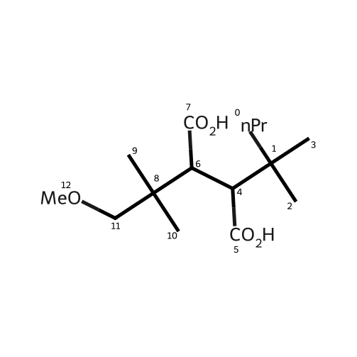 CCCC(C)(C)C(C(=O)O)C(C(=O)O)C(C)(C)COC